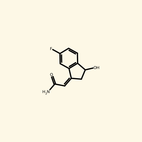 NC(=O)/C=C1/CC(O)c2ccc(F)cc21